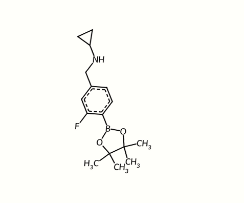 CC1(C)OB(c2ccc(CNC3CC3)cc2F)OC1(C)C